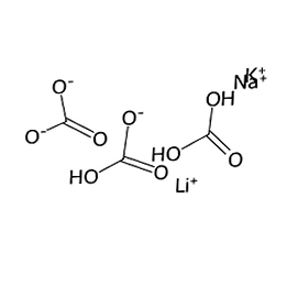 O=C(O)O.O=C([O-])O.O=C([O-])[O-].[K+].[Li+].[Na+]